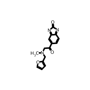 CN(CC(=O)c1ccc2c(c1)=NC(=O)N=2)Cc1ccco1